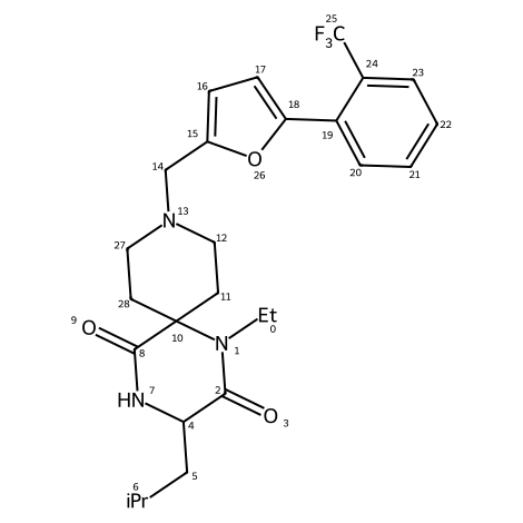 CCN1C(=O)C(CC(C)C)NC(=O)C12CCN(Cc1ccc(-c3ccccc3C(F)(F)F)o1)CC2